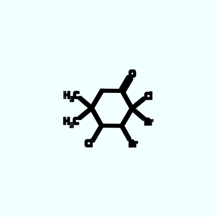 CC1(C)CC(=O)C(Cl)(Br)C(Br)C1Cl